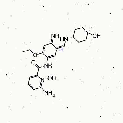 CCOC1=CC(=N)/C(=C\N[C@H]2CC[C@](C)(O)CC2)C=C1NC(=O)c1cccc(N)[n+]1O